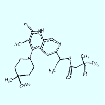 CCC(C)(C)C(=O)OC(C)c1cc2c(N3CCC(C)(OC)CC3)c(C#N)c(=O)[nH]c2cn1